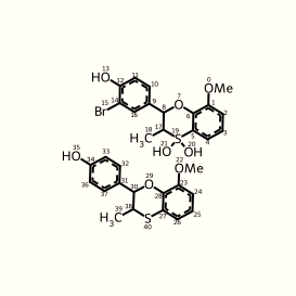 COc1cccc2c1OC(c1ccc(O)c(Br)c1)C(C)S2(O)O.COc1cccc2c1OC(c1ccc(O)cc1)C(C)S2